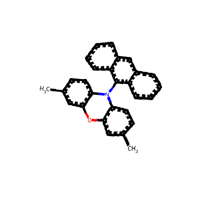 Cc1ccc2c(c1)Oc1cc(C)ccc1N2c1c2ccccc2cc2ccccc12